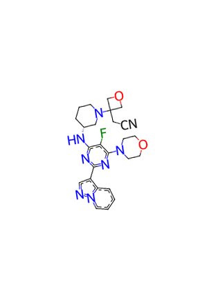 N#CCC1(N2CCC[C@@H](Nc3nc(-c4cnn5ccccc45)nc(N4CCOCC4)c3F)C2)COC1